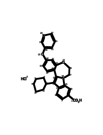 Cl.O=C(O)c1ccc2c(C3CCCCC3)c3n(c2c1)CCOc1cc(Oc2cccnc2)ccc1-3